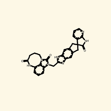 O=C1CCCn2c(=O)n(Cc3nc4cc5c(cc4[nH]3)CC3(C5)C(=O)Nc4ncccc43)c3cccc(c32)N1